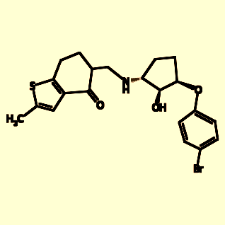 Cc1cc2c(s1)CCC(CN[C@@H]1CC[C@@H](Oc3ccc(Br)cc3)[C@H]1O)C2=O